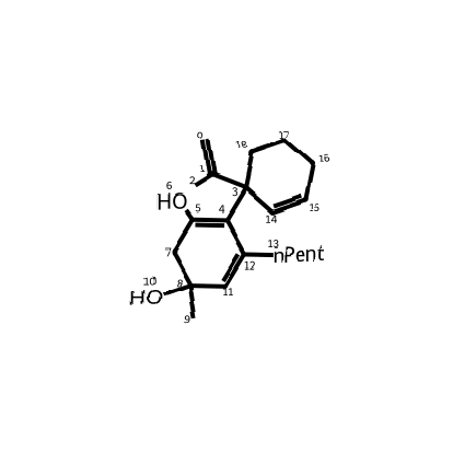 C=C(C)C1(C2=C(O)CC(C)(O)C=C2CCCCC)C=CCCC1